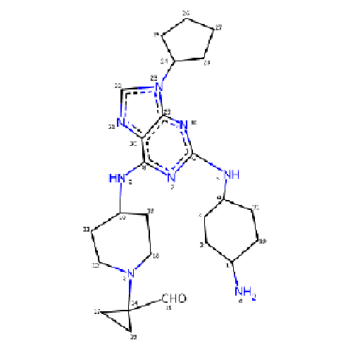 NC1CCC(Nc2nc(NC3CCN(C4(C=O)CC4)CC3)c3ncn(C4CCCC4)c3n2)CC1